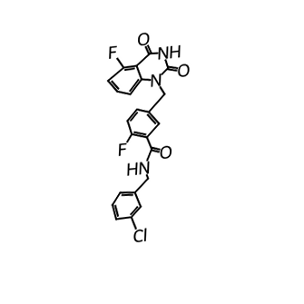 O=C(NCc1cccc(Cl)c1)c1cc(Cn2c(=O)[nH]c(=O)c3c(F)cccc32)ccc1F